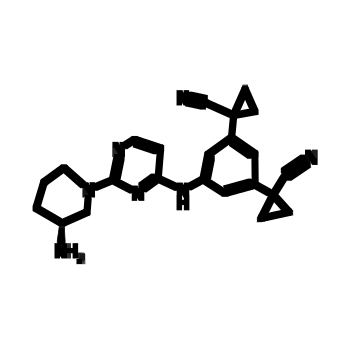 N#CC1(c2cc(Nc3ccnc(N4CCC[C@H](N)C4)n3)cc(C3(C#N)CC3)c2)CC1